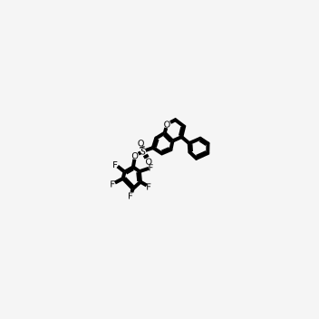 O=S(=O)(Oc1c(F)c(F)c(F)c(F)c1F)c1ccc2c(c1)OCC=C2c1ccccc1